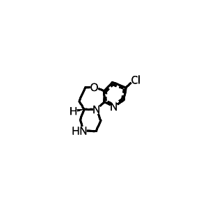 Clc1cnc2c(c1)OCC[C@H]1CNCCN21